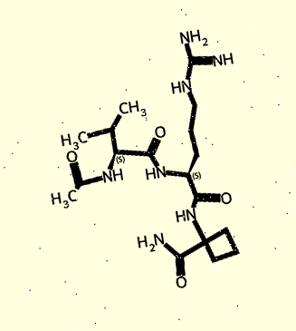 CC(=O)N[C@H](C(=O)N[C@@H](CCCNC(=N)N)C(=O)NC1(C(N)=O)CCC1)C(C)C